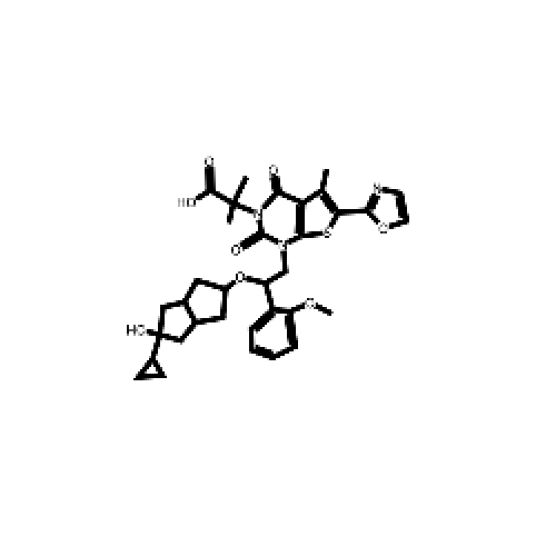 COc1ccccc1C(Cn1c(=O)n(C(C)(C)C(=O)O)c(=O)c2c(C)c(-c3ncco3)sc21)OC1CC2CC(O)(C3CC3)CC2C1